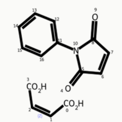 O=C(O)/C=C\C(=O)O.O=C1C=CC(=O)N1c1ccccc1